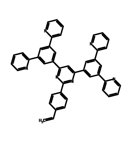 C=Cc1ccc(-c2nc(-c3cc(-c4ccccn4)cc(-c4ccccn4)c3)cc(-c3cc(-c4ccccn4)cc(-c4ccccn4)c3)n2)cc1